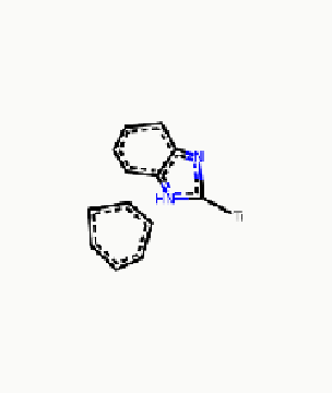 [Ti][c]1nc2ccccc2[nH]1.c1ccccc1